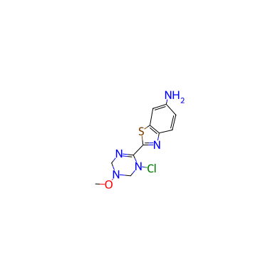 CON1CN=C(c2nc3ccc(N)cc3s2)N(Cl)C1